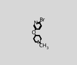 CN1CCC(Oc2ccc(Br)nc2)CC1